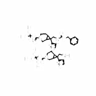 CC(C)(C)OC(=O)N1CCC2C(C1)C2(CN)c1ccon1.CC(C)(C)OC(=O)N1CCC2C(C1)C2(CNC(=O)OCc1ccccc1)c1ccon1